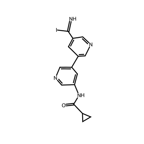 N=C(I)c1cncc(-c2cncc(NC(=O)C3CC3)c2)c1